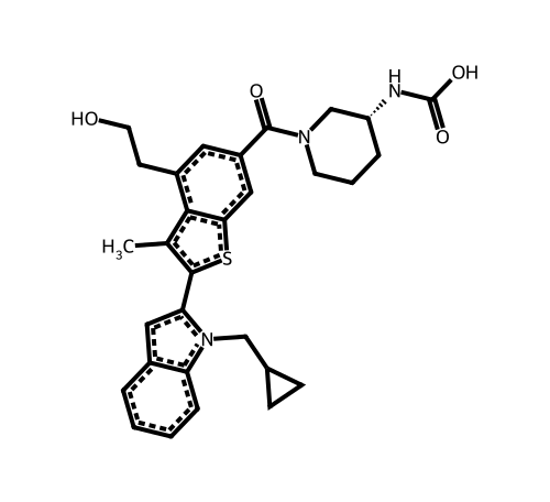 Cc1c(-c2cc3ccccc3n2CC2CC2)sc2cc(C(=O)N3CCC[C@@H](NC(=O)O)C3)cc(CCO)c12